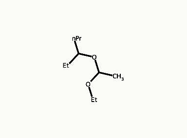 CCCC(CC)OC(C)OCC